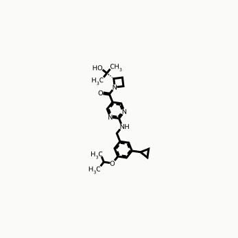 CC(C)Oc1cc(CNc2ncc(C(=O)N3CC[C@H]3C(C)(C)O)cn2)cc(C2CC2)c1